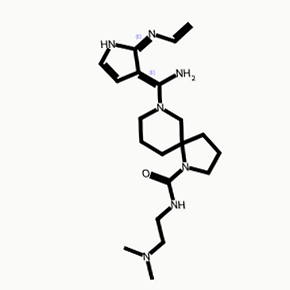 C=C/N=C1/NC=C/C1=C(/N)N1CCCC2(CCCN2C(=O)NCCN(C)C)C1